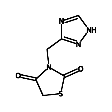 O=C1CSC(=O)N1Cc1nc[nH]n1